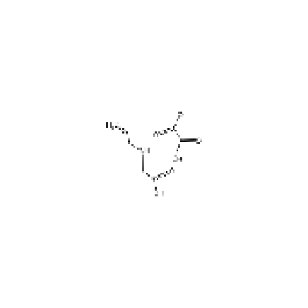 C=CCNCC(=O)O.O=C(O)C(=O)O